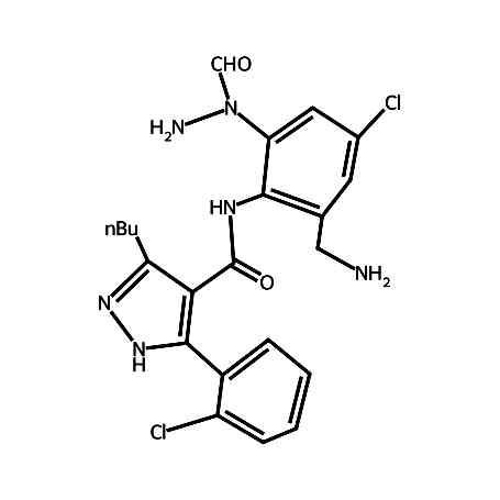 CCCCc1n[nH]c(-c2ccccc2Cl)c1C(=O)Nc1c(CN)cc(Cl)cc1N(N)C=O